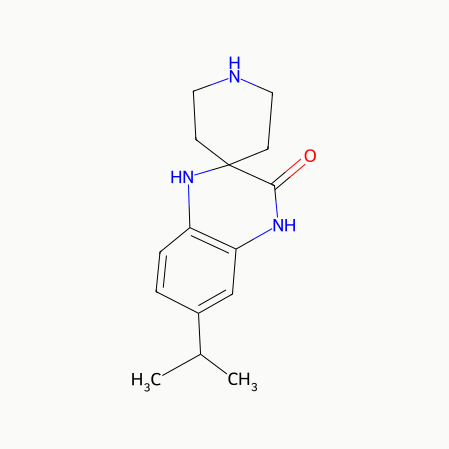 CC(C)c1ccc2c(c1)NC(=O)C1(CCNCC1)N2